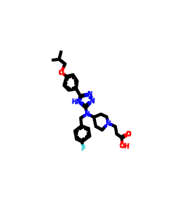 CC(C)COc1ccc(-c2nnc(N(Cc3ccc(F)cc3)C3CCN(CCC(=O)O)CC3)[nH]2)cc1